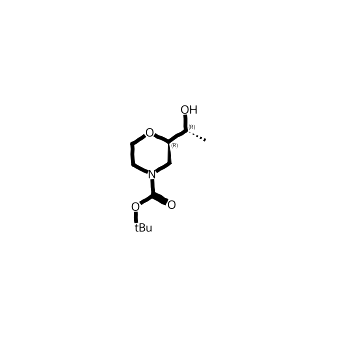 C[C@@H](O)[C@H]1CN(C(=O)OC(C)(C)C)CCO1